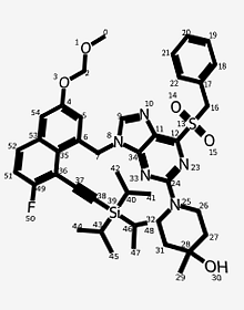 COCOc1cc(Cn2cnc3c(S(=O)(=O)Cc4ccccc4)nc(N4CCC(C)(O)CC4)nc32)c2c(C#C[Si](C(C)C)(C(C)C)C(C)C)c(F)ccc2c1